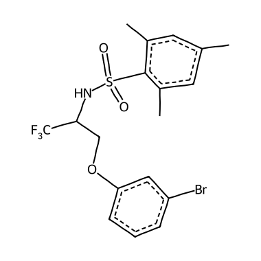 Cc1cc(C)c(S(=O)(=O)NC(COc2cccc(Br)c2)C(F)(F)F)c(C)c1